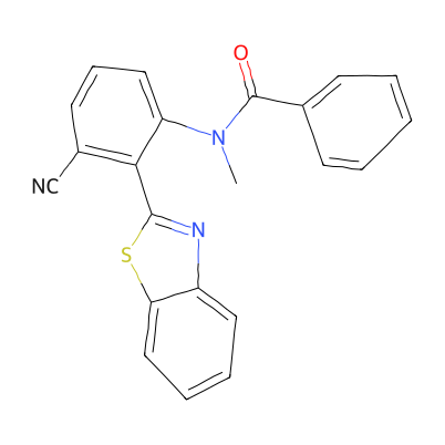 CN(C(=O)c1ccccc1)c1cccc(C#N)c1-c1nc2ccccc2s1